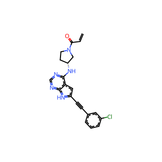 C=CC(=O)N1CC[C@@H](Nc2ncnc3[nH]c(C#Cc4cccc(Cl)c4)cc23)C1